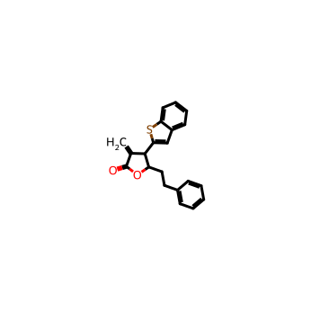 C=C1C(=O)OC(CCc2ccccc2)C1c1cc2ccccc2s1